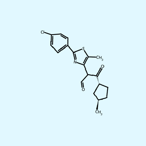 Cc1sc(-c2ccc(Cl)cc2)nc1C(C=O)C(=O)[C@@H]1CC[C@@H](C)C1